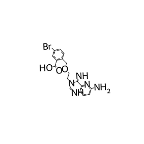 N=CN(CCOCc1ccc(Br)cc1C(=O)O)C(=N)c1cccc(N)n1